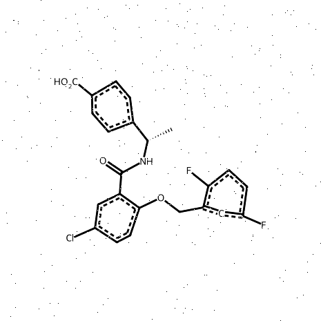 C[C@H](NC(=O)c1cc(Cl)ccc1OCc1cc(F)ccc1F)c1ccc(C(=O)O)cc1